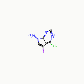 Nn1cc(I)c2c(Cl)ncnc21